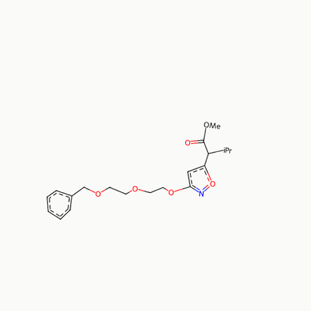 COC(=O)C(c1cc(OCCOCCOCc2ccccc2)no1)C(C)C